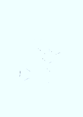 O=c1cc(N2CCOCC2)nc2n1CC[C@@H](C(F)(F)F)N2CC(O)Cc1ccccc1